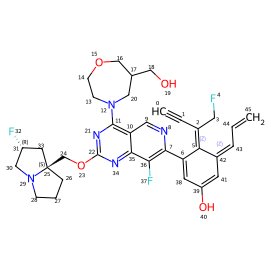 C#C/C(CF)=c1\c(-c2ncc3c(N4CCOCC(CO)C4)nc(OC[C@@]45CCCN4C[C@H](F)C5)nc3c2F)cc(O)c\c1=C\C=C